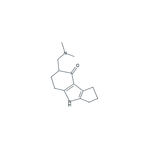 CN(C)CC1CCc2[nH]c3c(c2C1=O)CCC3